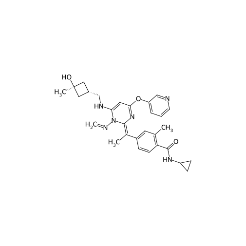 C=NN1C(NC[C@H]2C[C@](C)(O)C2)=CC(Oc2cccnc2)=N/C1=C(/C)c1ccc(C(=O)NC2CC2)c(C)c1